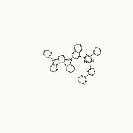 c1ccc(-c2cccc(-c3nc(-c4ccccc4)nc(-c4cc(-n5c6ccccc6c6c7c8ccccc8n(-c8ccccc8)c7ccc65)cc5ccccc45)n3)c2)cc1